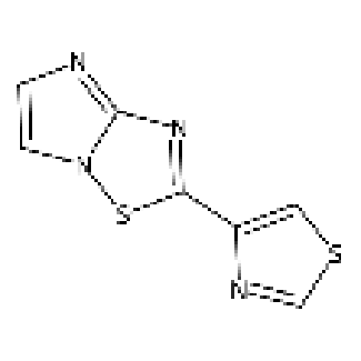 c1cn2sc(-c3cscn3)nc2n1